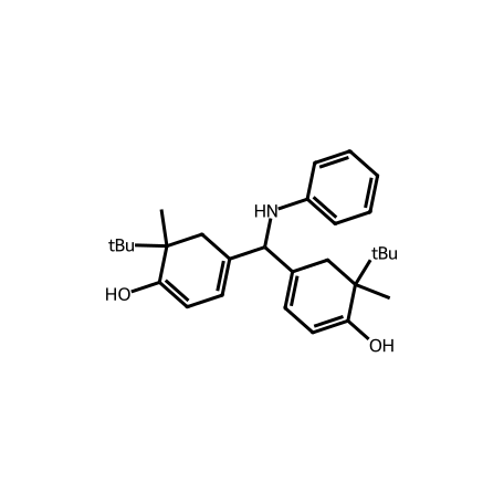 CC(C)(C)C1(C)CC(C(Nc2ccccc2)C2=CC=C(O)C(C)(C(C)(C)C)C2)=CC=C1O